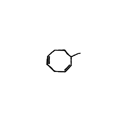 CC1C=CCC=CCC1